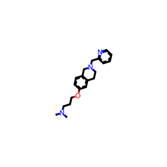 CN(C)CCCOc1ccc2c(c1)CCN(Cc1ccccn1)C2